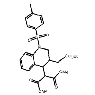 CCOC(=O)CC1CN(S(=O)(=O)c2ccc(C)cc2)c2ccccc2C1C(C(=O)OC)C(=O)OC